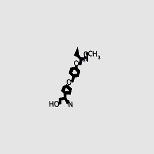 CO/N=C(/COc1ccc(COc2ccc(C(C#N)CCO)cc2)cc1)C1CC1